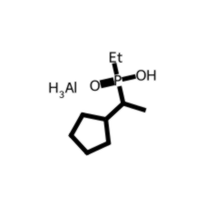 CCP(=O)(O)C(C)C1CCCC1.[AlH3]